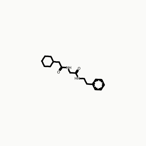 O=C(CNC(=O)CC1CCCCC1)NCCc1ccccc1